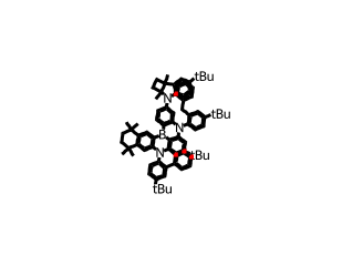 CC(C)(C)c1ccc(N2c3cc(N4c5ccc(C(C)(C)C)cc5C5(C)CCC45C)ccc3B3c4cc5c(cc4N(c4ccc(C(C)(C)C)cc4-c4ccccc4)c4cc(C(C)(C)C)cc2c43)C(C)(C)CCC5(C)C)c(Cc2ccccc2)c1